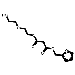 O=C(CC(=O)OCc1ccco1)OCCOCCO